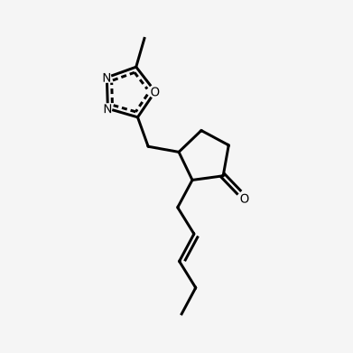 CC/C=C/CC1C(=O)CCC1Cc1nnc(C)o1